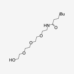 CCC(C)CCC(=O)NCCOCCOCCOCCO